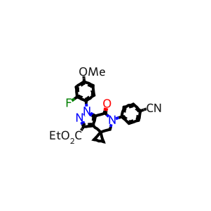 CCOC(=O)c1nn(-c2ccc(OC)cc2F)c2c1C1(CC1)CN(c1ccc(C#N)cc1)C2=O